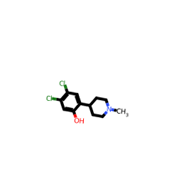 CN1CCC(c2cc(Cl)c(Cl)cc2O)CC1